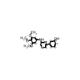 COc1cc(Nc2cncc(-c3cccc(O)c3)n2)cc(OC)c1OC